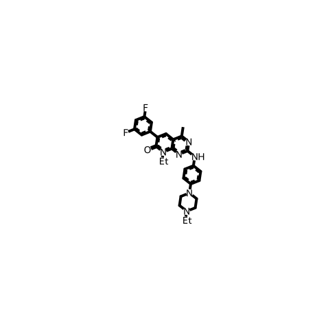 CCN1CCN(c2ccc(Nc3nc(C)c4cc(-c5cc(F)cc(F)c5)c(=O)n(CC)c4n3)cc2)CC1